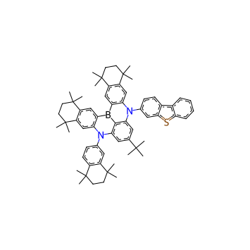 CC(C)(C)c1cc2c3c(c1)N(c1ccc4c(c1)sc1ccccc14)c1cc4c(cc1B3c1cc3c(cc1N2c1ccc2c(c1)C(C)(C)CCC2(C)C)C(C)(C)CCC3(C)C)C(C)(C)CCC4(C)C